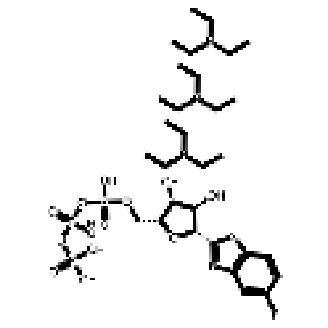 CCN(CC)CC.CCN(CC)CC.CCN(CC)CC.O=P(O)(O)OP(=O)(O)OP(=O)(O)OC[C@H]1O[C@@H](c2nc3cc(F)ccc3s2)[C@H](O)[C@@H]1O